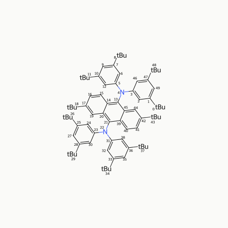 CC(C)(C)c1cc(N(c2cc(C(C)(C)C)cc(C(C)(C)C)c2)c2c3ccc(C(C)(C)C)cc3c(N(c3cc(C(C)(C)C)cc(C(C)(C)C)c3)c3cc(C(C)(C)C)cc(C(C)(C)C)c3)c3ccc(C(C)(C)C)cc23)cc(C(C)(C)C)c1